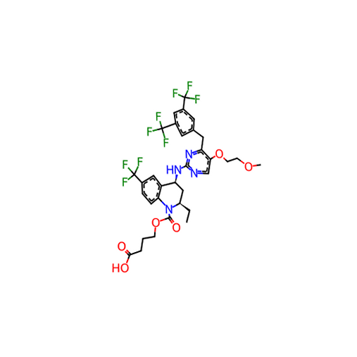 CC[C@@H]1C[C@H](Nc2ncc(OCCOC)c(Cc3cc(C(F)(F)F)cc(C(F)(F)F)c3)n2)c2cc(C(F)(F)F)ccc2N1C(=O)OCCCC(=O)O